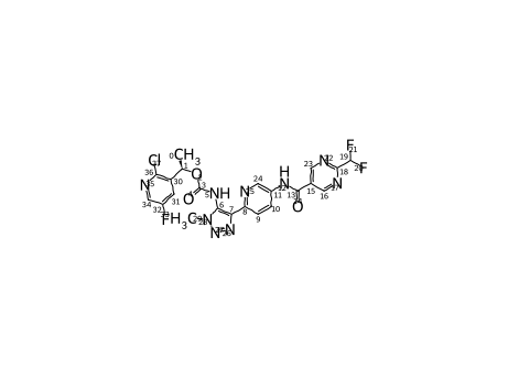 C[C@@H](OC(=O)Nc1c(-c2ccc(NC(=O)c3cnc(C(F)F)nc3)cn2)nnn1C)c1cc(F)cnc1Cl